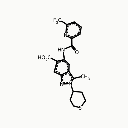 Cc1c2cc(NC(=O)c3cccc(C(F)(F)F)n3)c(C(=O)O)cc2nn1C1CCSCC1